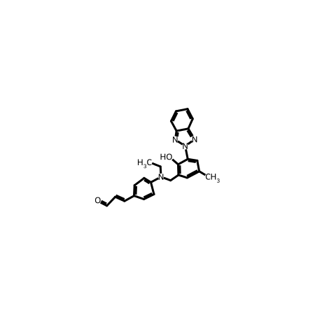 CCN(Cc1cc(C)cc(-n2nc3ccccc3n2)c1O)c1ccc(C=CC=O)cc1